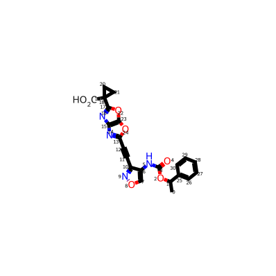 CC(OC(=O)Nc1conc1C#Cc1nc2nc(C3(C(=O)O)CC3)oc2o1)c1ccccc1